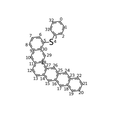 c1ccc(Sc2cccc3cc4ccc5cc6cc7ccccc7cc6cc5c4cc23)cc1